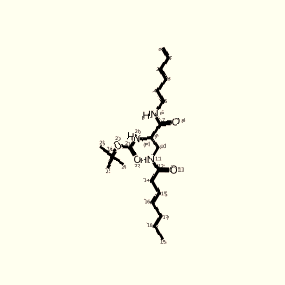 CCCCCCNC(=O)[C@@H](CNC(=O)CCCCCC)NC(=O)OC(C)(C)C